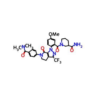 COc1ccc(-n2nc(C(F)(F)F)c3c2C(=O)N(c2ccc(C(=O)N(C)C)cc2)CC3)c(C(=O)N2CCCC(C(N)=O)C2)c1